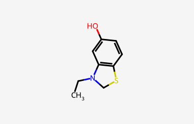 CCN1CSc2ccc(O)cc21